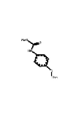 [CH2]OC(=O)Nc1ccc(OCCCCCC)cc1